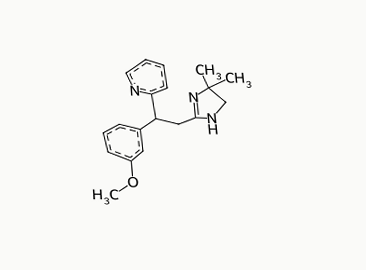 COc1cccc(C(CC2=NC(C)(C)CN2)c2ccccn2)c1